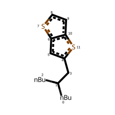 CCCCC(CCCC)Cc1cc2sccc2s1